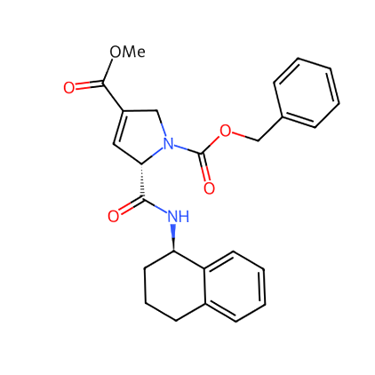 COC(=O)C1=C[C@@H](C(=O)N[C@@H]2CCCc3ccccc32)N(C(=O)OCc2ccccc2)C1